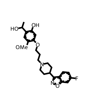 COc1cc(C(C)O)c(O)cc1OCCCN1CCC(c2noc3cc(F)ccc23)CC1